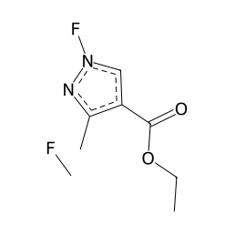 CCOC(=O)c1cn(F)nc1C.CF